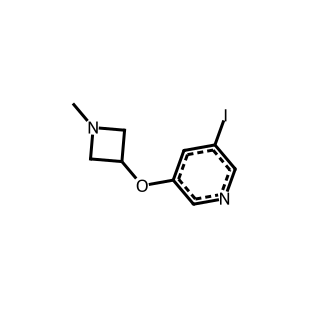 CN1CC(Oc2cncc(I)c2)C1